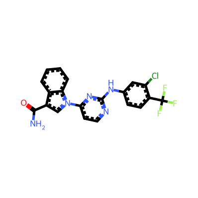 NC(=O)c1cn(-c2ccnc(Nc3ccc(C(F)(F)F)c(Cl)c3)n2)c2ccccc12